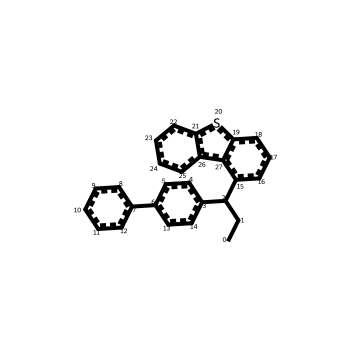 CCC(c1ccc(-c2ccccc2)cc1)c1cccc2sc3ccccc3c12